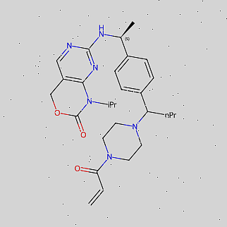 C=CC(=O)N1CCN(C(CCC)c2ccc([C@H](C)Nc3ncc4c(n3)N(C(C)C)C(=O)OC4)cc2)CC1